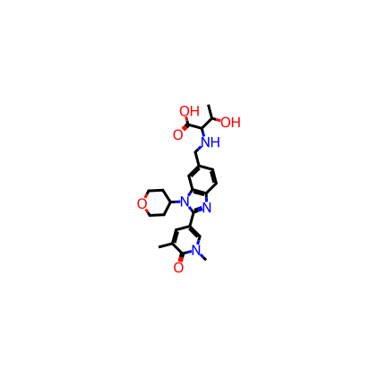 Cc1cc(-c2nc3ccc(CNC(C(=O)O)C(C)O)cc3n2C2CCOCC2)cn(C)c1=O